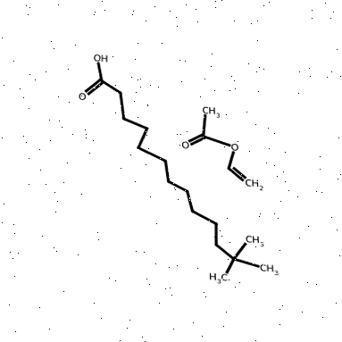 C=COC(C)=O.CC(C)(C)CCCCCCCCCCC(=O)O